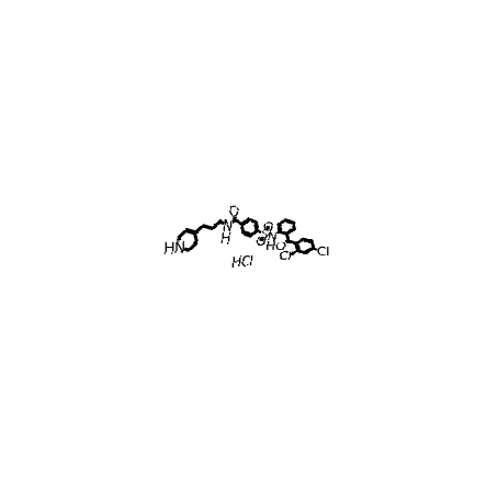 Cl.O=C(NCCCC1CCNCC1)c1ccc(S(=O)(=O)Nc2ccccc2C(=O)c2ccc(Cl)cc2Cl)cc1